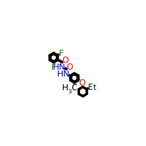 CCC1CCCCC1Oc1ccc(NC(=O)NC(=O)c2c(F)cccc2F)cc1C